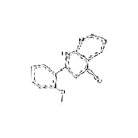 COc1ccccc1-c1cc(=O)c2cccnc2[nH]1